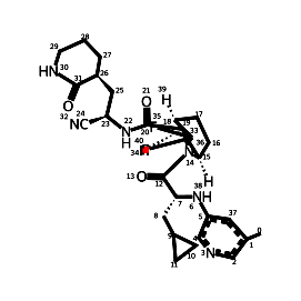 Cc1cncc(N[C@H](CC2CC2)C(=O)N2[C@@H]3CC[C@H]([C@@H]2C(=O)N[C@@H](C#N)C[C@@H]2CCCNC2=O)C(F)(F)C3)c1